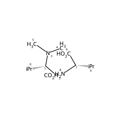 CC(C)[C@@H](C(=O)O)N(C)C.CC(C)[C@H](N)C(=O)O